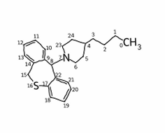 CCCCC1CCN(C2c3ccccc3CSc3ccccc32)CC1